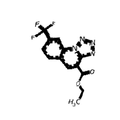 CCOC(=O)c1cc2ccc(C(F)(F)F)cc2n2nnnc12